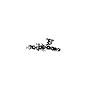 C[C@]1(O)CC[C@H]([C@H]2COc3cc(S(=O)(=O)NC(=O)c4ccc(N5CCC6(CC5)CC(N5CCCC5)C6)cc4Oc4cnc5[nH]cc(F)c5c4)cc([N+](=O)[O-])c3N2)CC1